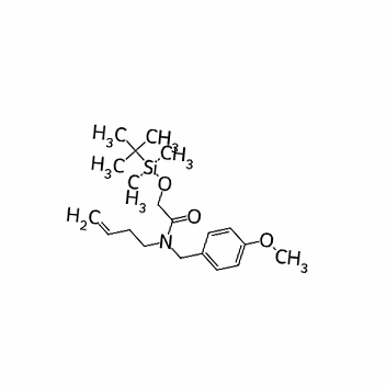 C=CCCN(Cc1ccc(OC)cc1)C(=O)CO[Si](C)(C)C(C)(C)C